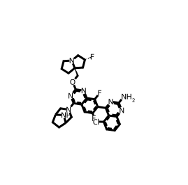 Nc1nc(-c2c(F)cc3c(N4CC5CCC(C4)N5)nc(OC[C@@]45CCCN4C[C@H](F)C5)nc3c2F)c2c(Cl)cccc2n1